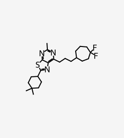 Cc1nc(CCCC2CCCC(F)(F)CC2)c2nc(C3CCC(C)(C)CC3)sc2n1